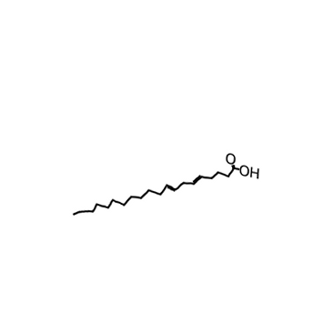 CCCCCCCCCCCC=CCC=CCCCC(=O)O